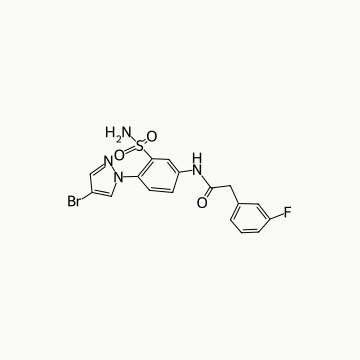 NS(=O)(=O)c1cc(NC(=O)Cc2cccc(F)c2)ccc1-n1cc(Br)cn1